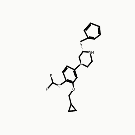 FC(F)Oc1ccc(N2CCN[C@@H](Cc3ccccc3)C2)cc1OCC1CC1